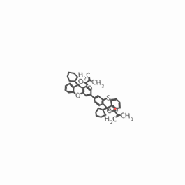 C=C(C)C(=O)OC1(C2CCCCC2)c2ccccc2Oc2cc(-c3ccc4c(c3)Sc3ccccc3C4(OC(=O)C(=C)C)C3CCCCC3)ccc21